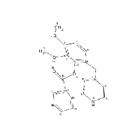 COc1ccc(CN2CCNCC2)c(OC(=O)c2ccccc2)c1OC